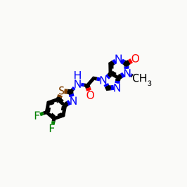 Cn1c(=O)ncc2c1ncn2CC(=O)Nc1nc2cc(F)c(F)cc2s1